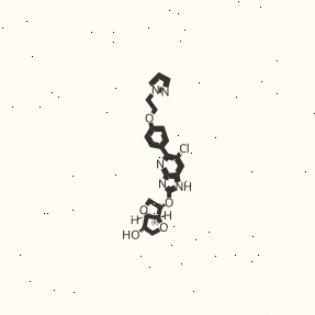 O[C@@H]1CO[C@H]2[C@@H]1OC[C@H]2Oc1nc2nc(-c3ccc(OCCn4cccn4)cc3)c(Cl)cc2[nH]1